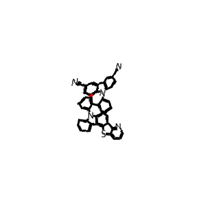 N#Cc1ccc2c(c1)c1cc(C#N)ccc1n2-c1ccccc1-c1ccccc1-n1c2ccccc2c2c3sc4cccnc4c3ccc21